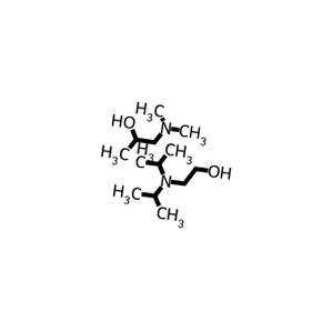 CC(C)N(CCO)C(C)C.CC(O)CN(C)C